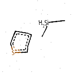 C[SiH2]C.c1ccsc1